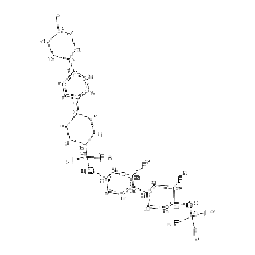 CC1CCC(c2ccc(C3CCC(C(F)(F)Oc4ccc(-c5ccc(OC(F)(F)F)c(F)c5)c(F)c4)CC3)cc2)CC1